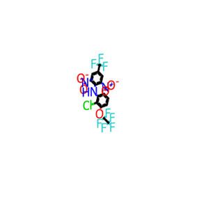 O=[N+]([O-])c1cc(C(F)(F)F)cc([N+](=O)[O-])c1Nc1cccc(OC(F)(F)C(F)(F)F)c1Cl